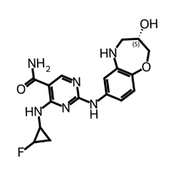 NC(=O)c1cnc(Nc2ccc3c(c2)NC[C@H](O)CO3)nc1NC1CC1F